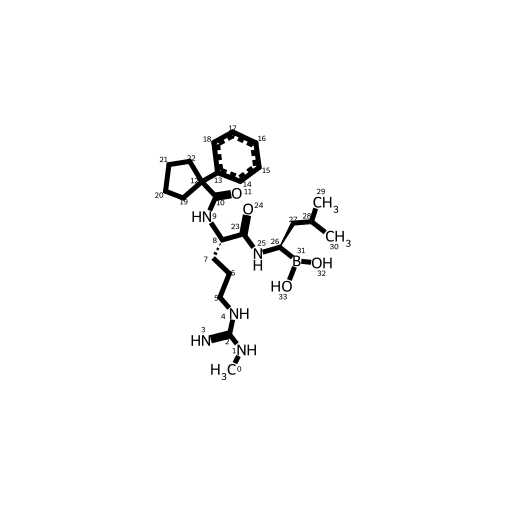 CNC(=N)NCCC[C@H](NC(=O)C1(c2ccccc2)CCCC1)C(=O)N[C@@H](CC(C)C)B(O)O